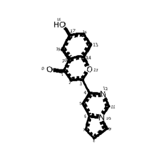 O=c1cc(-c2cc3cccn3cn2)oc2ccc(O)cc12